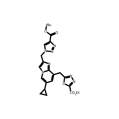 CCOC(=O)c1nnc(Cc2cc(C3CC3)cn3cc(Cn4cc(C(=O)OC(C)(C)C)nn4)nc23)o1